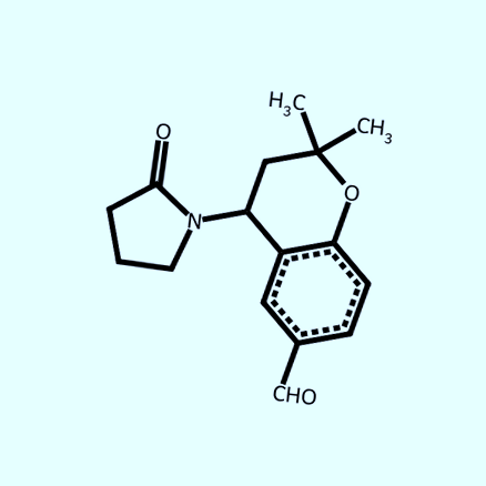 CC1(C)CC(N2CCCC2=O)c2cc(C=O)ccc2O1